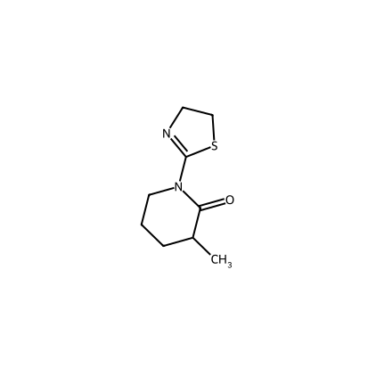 CC1CCCN(C2=NCCS2)C1=O